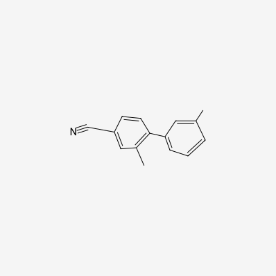 Cc1cccc(-c2ccc(C#N)cc2C)c1